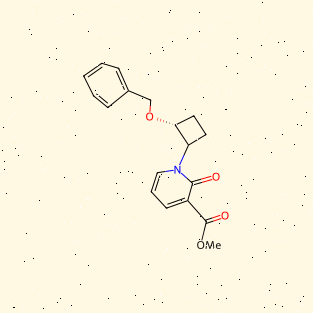 COC(=O)c1cccn(C2CC[C@H]2OCc2ccccc2)c1=O